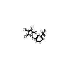 O=C1C(Cl)=C(Cl)C(=O)N1Cc1cccc(C(F)(F)F)c1